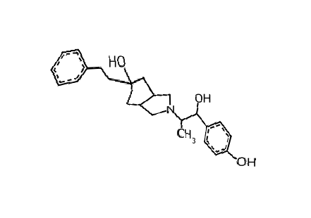 CC(C(O)c1ccc(O)cc1)N1CC2CC(O)(CCc3ccccc3)CC2C1